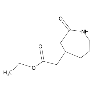 CCOC(=O)CC1CCCNC(=O)C1